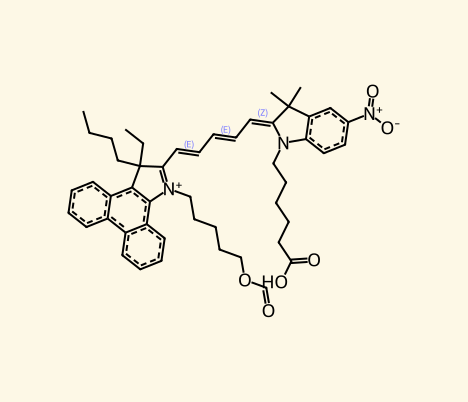 CCCCC1(CC)C(/C=C/C=C/C=C2\N(CCCCCC(=O)O)c3ccc([N+](=O)[O-])cc3C2(C)C)=[N+](CCCCCOC=O)c2c1c1ccccc1c1ccccc21